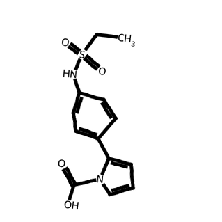 CCS(=O)(=O)Nc1ccc(-c2cccn2C(=O)O)cc1